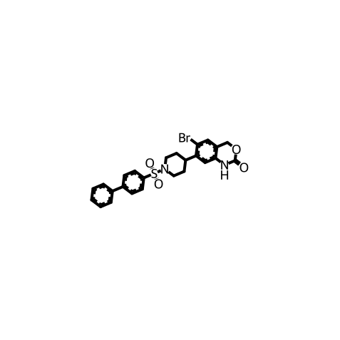 O=C1Nc2cc(C3CCN(S(=O)(=O)c4ccc(-c5ccccc5)cc4)CC3)c(Br)cc2CO1